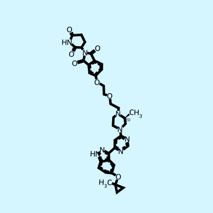 C[C@H]1CN(c2cc(-c3n[nH]c4ccc(OC5(C)CC5)cc34)ncn2)CCN1CCOCCOc1ccc2c(c1)C(=O)N(C1CCC(=O)NC1=O)C2=O